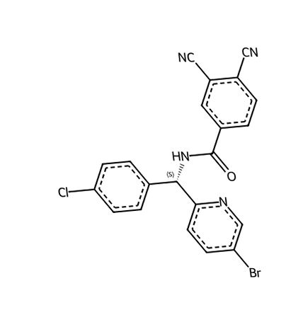 N#Cc1ccc(C(=O)N[C@@H](c2ccc(Cl)cc2)c2ccc(Br)cn2)cc1C#N